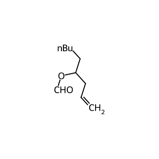 C=CCC(CCCCC)OC=O